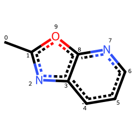 Cc1nc2[c]ccnc2o1